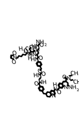 CCCN(CCC)C(=O)C1=Cc2ccc(C(=O)Nc3cnc4c(c3)CC(Cc3ccc(C(=O)NCCNC(=O)OCc5ccc(NC(=O)C(CCCNC(N)=O)NC(=O)C(NC(=O)CCCCCN6C(=O)C=CC6=O)C(C)C)cc5)cc3)CC4)cc2N=C(N)C1